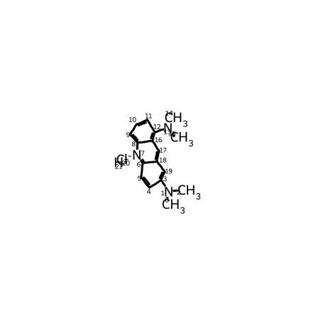 CN(C)c1ccc2nc3cccc(N(C)C)c3cc2c1.[Cl-].[H+]